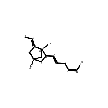 CC=C1C[C@H]2CC(C=CC/C=C\CC)[C@@H]1C2